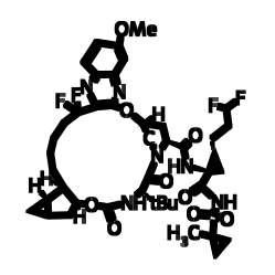 COc1ccc2nc3c(nc2c1)O[C@@H]1C[C@@H](C(=O)N[C@]2(C(=O)NS(=O)(=O)C4(C)CC4)C[C@H]2CCC(F)F)N(C1)C(=O)[C@H](C(C)(C)C)NC(=O)O[C@@H]1CC2C[C@@H]2[C@H]1CCCCC3(F)F